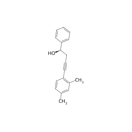 Cc1ccc(C#CC[C@@H](O)c2ccccc2)c(C)c1